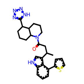 CC(CC(=O)N1CCCC2C(c3nnn[nH]3)CCCC21)c1c[nH]c2cccc(-c3cccs3)c12